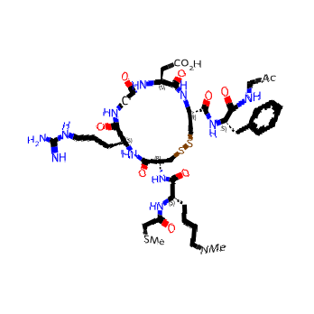 CNCCCC[C@H](NC(=O)CSC)C(=O)N[C@H]1CSSC[C@@H](C(=O)N[C@@H](Cc2ccccc2)C(=O)NCC(C)=O)NC(=O)[C@H](CC(=O)O)NC(=O)CNC(=O)[C@H](CCCNC(=N)N)NC1=O